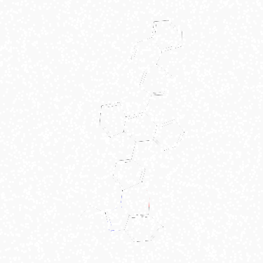 CCc1nc2cccc3c2n1-c1ccc(-c2c4ccccc4c(-c4ccc5c(ccc6ccccc65)c4)c4ccccc24)cc1O3